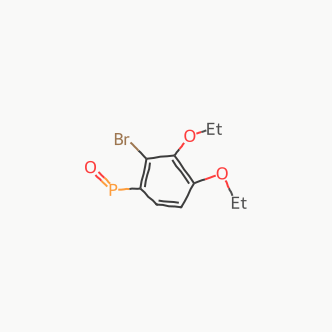 CCOc1ccc(P=O)c(Br)c1OCC